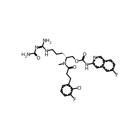 CN(C(=O)CCc1cccc(F)c1Cl)[C@H](CCCN/C(N)=N\C(N)=O)COC(=O)Nc1cc2cc(F)ccc2cn1